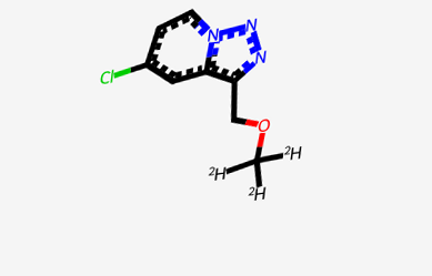 [2H]C([2H])([2H])OCc1nnn2ccc(Cl)cc12